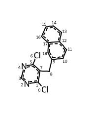 Clc1ncnc(Cl)c1Cc1ccc2ccccc2c1